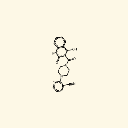 N#Cc1cccnc1N1CCN(C(=O)c2c(O)c3ccccc3[nH]c2=O)CC1